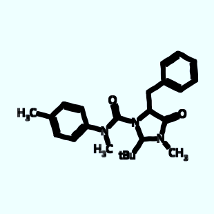 Cc1ccc(N(C)C(=O)N2C(Cc3ccccc3)C(=O)N(C)C2C(C)(C)C)cc1